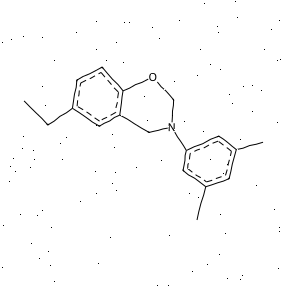 CCc1ccc2c(c1)CN(c1cc(C)cc(C)c1)CO2